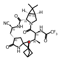 C[C@@H](OC12CC(C1)C2)[C@H](NC(=O)C(F)(F)F)C(=O)N1C[C@H]2[C@@H]([C@H]1C(=O)N[C@H](C#N)C[C@@H]1CC3(CC3)NC1=O)C2(C)C